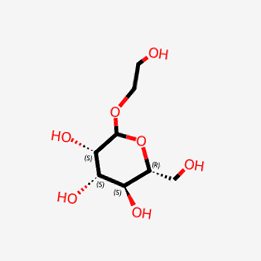 OCCOC1O[C@H](CO)[C@@H](O)[C@H](O)[C@@H]1O